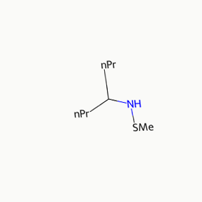 CCCC(CCC)NSC